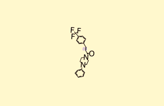 O=C(/C=C/c1ccc(C(F)(F)F)cc1)N1CCN(c2ccccc2)CC1